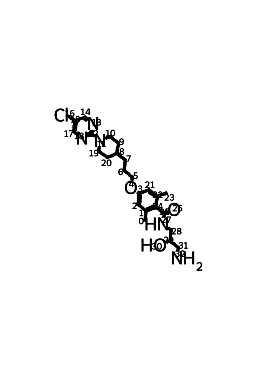 Cc1cc(OCCCC2CCN(c3ncc(Cl)cn3)CC2)cc(C)c1C(=O)NCC(O)CN